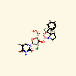 Cc1cn([C@@H]2O[C@H](CO)C(O[P@@]3O[C@](C)(c4ccccc4)[C@@H]4CCCN43)[C@@H]2F)c(=O)[nH]c1=O